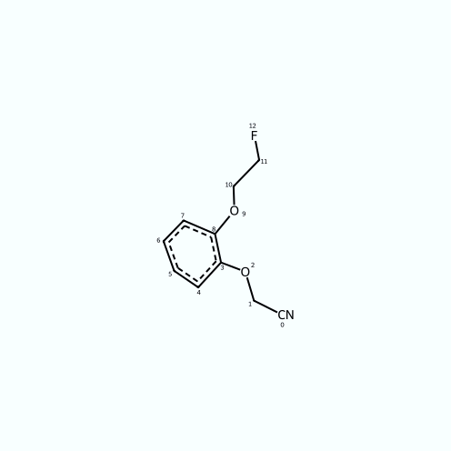 N#CCOc1ccccc1OCCF